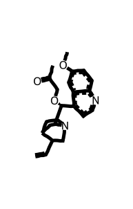 C=CC1CN2CCC1CC2[C@@H](OCC(C)=O)c1ccnc2ccc(OC)cc12